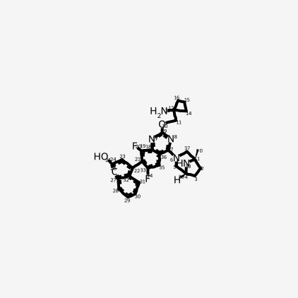 C[C@]12CC[C@H](CN(c3nc(OCC4(N)CCC4)nc4c(F)c(-c5cc(O)cc6ccccc56)c(F)cc34)C1)N2